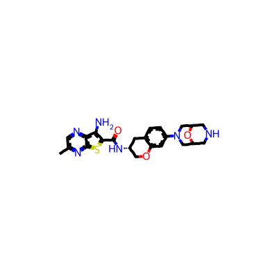 Cc1cnc2c(N)c(C(=O)N[C@H]3COc4cc(N5CC6CNCC(C5)O6)ccc4C3)sc2n1